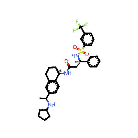 CC(NC1CCCC1)c1ccc2c(c1)CCC[C@H]2NC(=O)C[C@@H](NS(=O)(=O)c1cccc(C(F)(F)F)c1)c1ccccc1